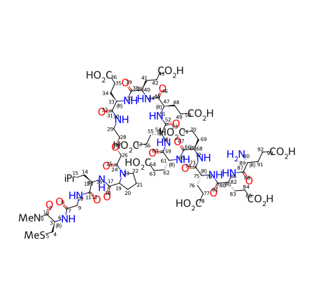 CNC(=O)[C@H](CSC)NC(=O)CNC(=O)[C@@H](CC(C)C)NC(=O)C1CCCN1C(=O)COCCNC(=O)[C@@H](CCC(=O)O)NC(=O)[C@@H](CCC(=O)O)NC(=O)[C@@H](CCC(=O)O)NC(=O)[C@@H](CCC(=O)O)NC(=O)[C@@H](CCC(=O)O)NC(=O)[C@@H](CCC(=O)O)NC(=O)[C@@H](CCC(=O)O)NC(=O)[C@@H](CCC(=O)O)NC(=O)[C@H](N)CCC(=O)O